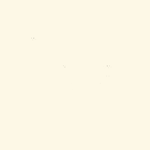 COc1ccc(-n2c(-c3ccccc3)c(O)c3c(C(=O)C(=O)c4ccccc4)c(OC)ccc32)cc1